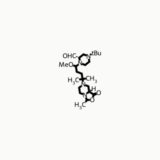 COC(CCC(C)(C)N1CCN2C(C)OC(=O)[C@H]2C1)N1CCN(C(C)(C)C)C[C@H]1C=O